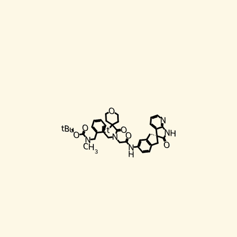 CCC1(C(=O)N(CC(=O)Nc2ccc3c(c2)C[C@@]2(C3)C(=O)Nc3ncccc32)Cc2ccccc2CN(C)C(=O)OC(C)(C)C)CCOCC1